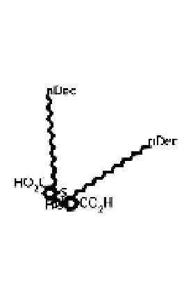 CCCCCCCCCCCCCCCCCCCCCCCCCCc1c(C(=O)O)ccc(O)c1Sc1c(O)ccc(C(=O)O)c1CCCCCCCCCCCCCCCCCCCCCCCCCC